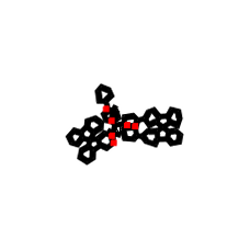 CC(C)(C)CC(c1ccc(-c2ccc3c(c2)C2(c4ccccc4-3)c3ccccc3-c3ccc(-c4ccc(N(c5ccc(-c6ccccc6)cc5)c5ccc6c(c5)C5(c7ccccc7-c7ccccc75)c5ccccc5-6)cc4)cc32)cc1)C(C)(C)C